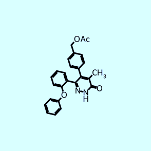 CC(=O)OCc1ccc(-c2c(-c3ccccc3Oc3ccccc3)n[nH]c(=O)c2C)cc1